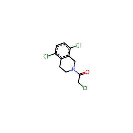 O=C(CCl)N1CCc2c(Cl)ccc(Cl)c2C1